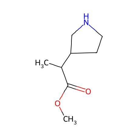 COC(=O)C(C)C1CCNC1